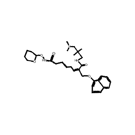 CN(C)CC(C)(C)CNC(=O)C(=CCCCCC(=O)NOC1CCCCO1)COc1cccc2ccccc12